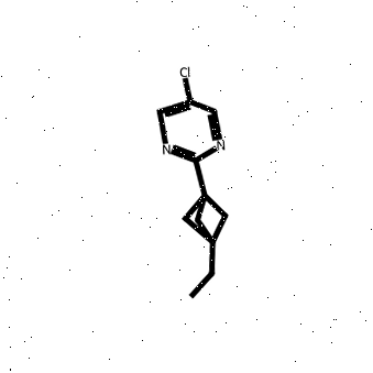 CCC12CC(c3ncc(Cl)cn3)(C1)C2